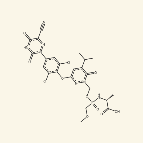 COCP(=O)(N[C@@H](C)C(=O)O)OCn1nc(Oc2c(Cl)cc(-n3nc(C#N)c(=O)[nH]c3=O)cc2Cl)cc(C(C)C)c1=O